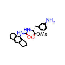 COC(=O)[C@@H](Cc1cccc(N)c1)NC(=O)Nc1c2c(cc3c1CCC3)CCC2